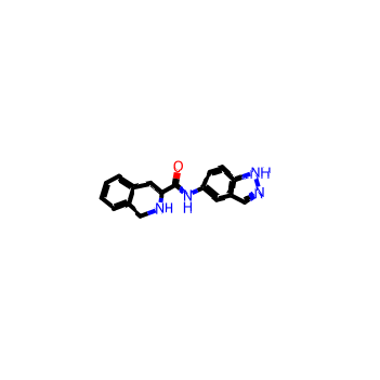 O=C(Nc1ccc2[nH]ncc2c1)C1Cc2ccccc2CN1